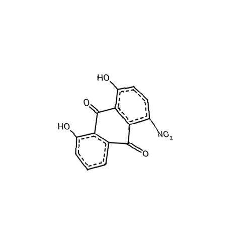 O=C1c2c(O)cccc2C(=O)c2c([N+](=O)[O-])ccc(O)c21